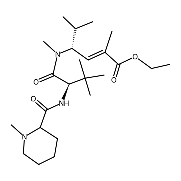 CCOC(=O)/C(C)=C/[C@@H](C(C)C)N(C)C(=O)[C@H](NC(=O)C1CCCCN1C)C(C)(C)C